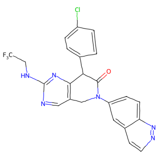 O=C1C(c2ccc(Cl)cc2)c2nc(NCC(F)(F)F)ncc2CN1c1ccc2nnccc2c1